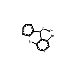 CCCOC(c1ccccc1)c1c(Br)cncc1Br